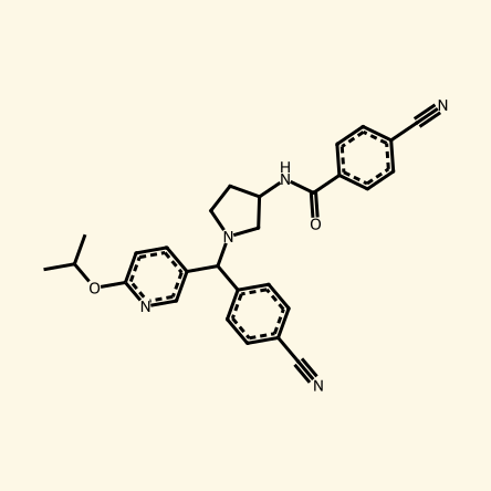 CC(C)Oc1ccc(C(c2ccc(C#N)cc2)N2CCC(NC(=O)c3ccc(C#N)cc3)C2)cn1